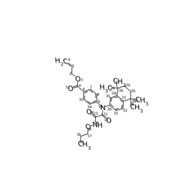 C=CCOC(=O)c1ccc(N(C(=O)C(=O)NOCCC)c2ccc3c(c2)C(C)(C)CCC3(C)C)cc1